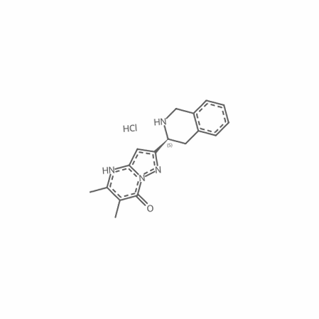 Cc1[nH]c2cc([C@@H]3Cc4ccccc4CN3)nn2c(=O)c1C.Cl